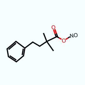 CC(C)(CCc1ccccc1)C(=O)ON=O